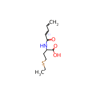 C=C/C=C/C(=O)NC(CCSCC)C(=O)O